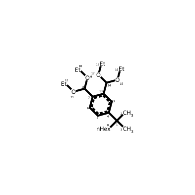 CCCCCCC(C)(C)c1ccc(C(OCC)OCC)c(C(OCC)OCC)c1